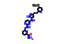 COc1ccnc(CCc2cc(Nc3ccnc(NCc4cccc(C(N)=O)n4)n3)[nH]n2)c1